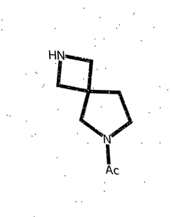 CC(=O)N1CCC2(CNC2)C1